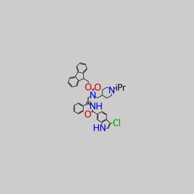 CC(C)N1CCC(CN(C[C@@H](NC(=O)c2ccc3c(Cl)c[nH]c3c2)c2ccccc2)C(=O)OCC2c3ccccc3-c3ccccc32)CC1